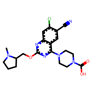 CN1CCCC1COc1nc(N2CCN(C(=O)O)CC2)c2cc(C#N)c(Cl)cc2n1